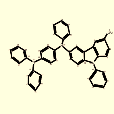 CC(C)(C)c1ccc2c(c1)c1cc(N(c3ccccc3)c3ccc(N(c4ccccc4)c4ccccc4)cc3)ccc1n2-c1ccccc1